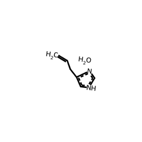 C=CCc1c[nH]cn1.O